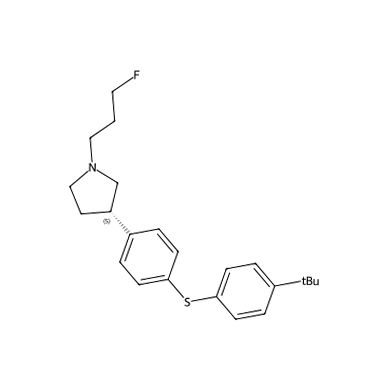 CC(C)(C)c1ccc(Sc2ccc([C@@H]3CCN(CCCF)C3)cc2)cc1